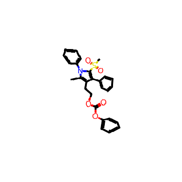 Cc1c(CCOC(=O)Oc2ccccc2)c(-c2ccccc2)c(S(C)(=O)=O)n1-c1ccccc1